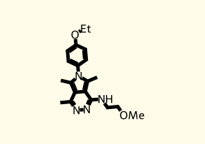 CCOc1ccc(-n2c(C)c3c(C)nnc(NCCOC)c3c2C)cc1